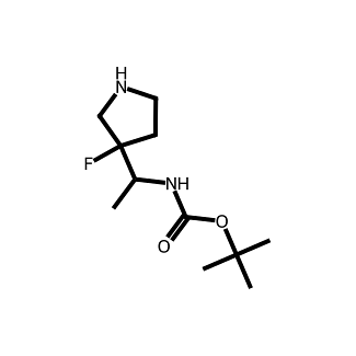 CC(NC(=O)OC(C)(C)C)C1(F)CCNC1